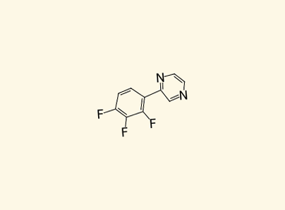 Fc1ccc(-c2cnccn2)c(F)c1F